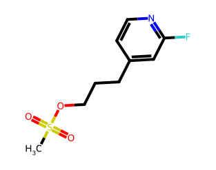 CS(=O)(=O)OCCCc1ccnc(F)c1